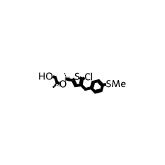 CSc1ccc(Cc2cc([C@@H](C)O[C@@H](C)CO)sc2Cl)cc1